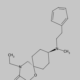 CCN1C[C@]2(CC[C@H](N(C)CCc3ccccc3)CC2)OCC1=O